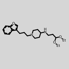 CCOC(CCNC1CCN(CCCc2coc3ccccc23)CC1)OCC